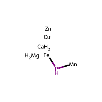 [CaH2].[Cu].[MgH2].[Mn][PH][Fe].[Zn]